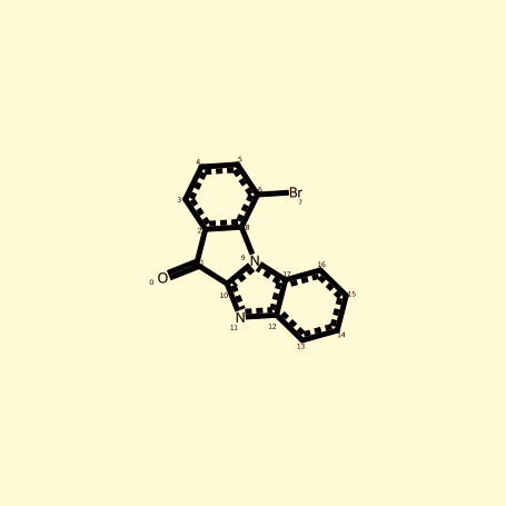 O=C1c2cccc(Br)c2-n2c1nc1ccccc12